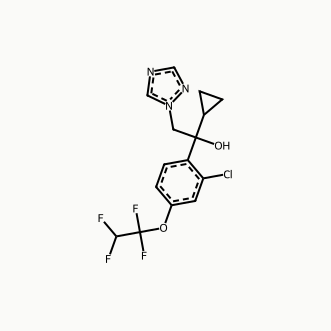 OC(Cn1cncn1)(c1ccc(OC(F)(F)C(F)F)cc1Cl)C1CC1